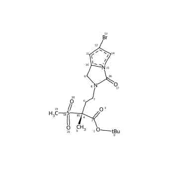 CC(C)(C)OC(=O)[C@@](C)(CCN1Cc2cc(Br)cn2C1=O)S(C)(=O)=O